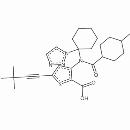 CC1CCC(C(=O)N(c2cc(C#CC(C)(C)C)sc2C(=O)O)C2(n3ccnn3)CCCCC2)CC1